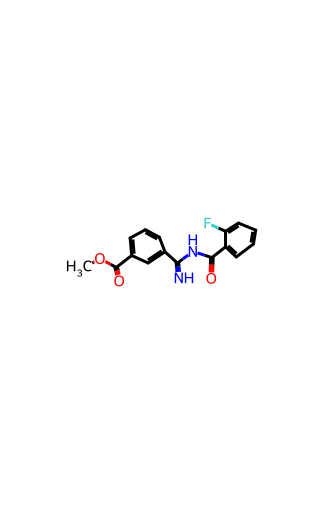 COC(=O)c1cccc(C(=N)NC(=O)c2ccccc2F)c1